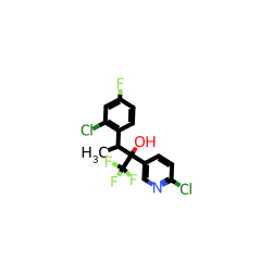 CC(c1ccc(F)cc1Cl)C(O)(c1ccc(Cl)nc1)C(F)(F)F